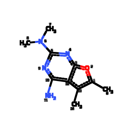 Cc1oc2nc(N(C)C)nc(N)c2c1C